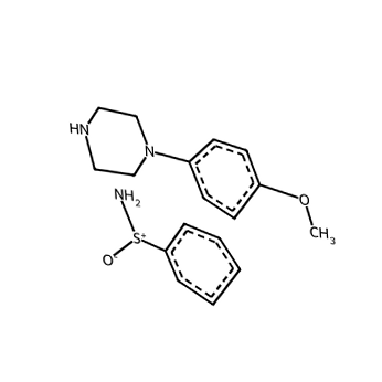 COc1ccc(N2CCNCC2)cc1.N[S+]([O-])c1ccccc1